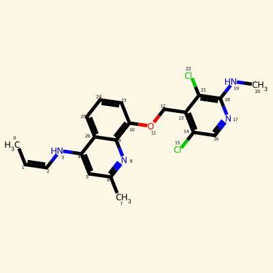 C/C=C\Nc1cc(C)nc2c(OCc3c(Cl)cnc(NC)c3Cl)cccc12